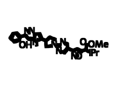 COC(=O)C(c1cc(-c2cnc(N3CCC(c4cc5nnc(-c6ccccc6O)cc5n4C)CC3)nc2)no1)C(C)C